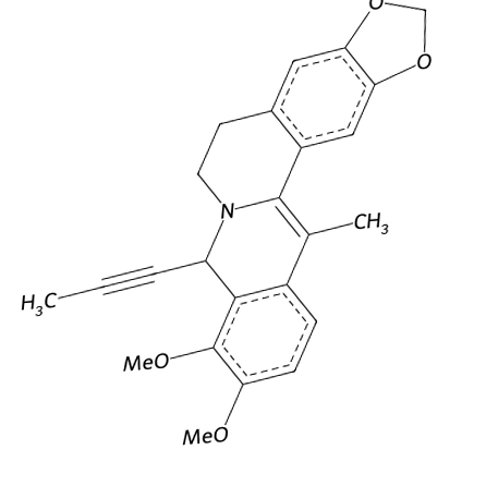 CC#CC1c2c(ccc(OC)c2OC)C(C)=C2c3cc4c(cc3CCN21)OCO4